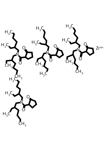 CCCCC(CC)CN(CC(CC)CCCC)C(=O)C1CCCC1=O.CCCCC(CC)CN(CC(CC)CCCC)C(=O)C1CCCC1=O.CCCCC(CC)CN(CC(CC)CCCC)C(=O)C1CCCC1=O.CCCCC(CC)CN(CC(CC)CCCC)C(=O)C1CCCC1=O.[Zr+4]